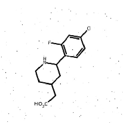 O=C(O)CC1CCNC(c2ccc(Cl)cc2F)C1